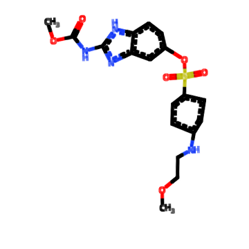 COCCNc1ccc(S(=O)(=O)Oc2ccc3[nH]c(NC(=O)OC)nc3c2)cc1